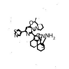 C[C@H](Oc1cc(-c2cnsc2)nc(-c2onc3c2CCC[C@@]32CCCc3sc(N)c(C#N)c32)n1)[C@@H]1CCCN1C